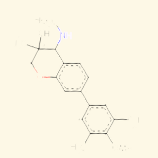 COc1c(C)cc(-c2ccc3c(c2)OCC(C)(C)C3NC(=O)O)cc1C